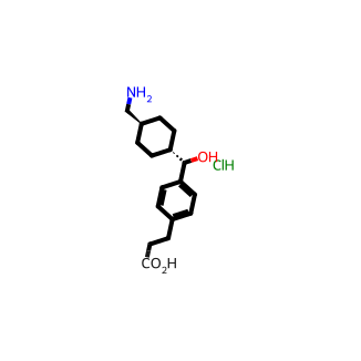 Cl.NC[C@H]1CC[C@H](C(O)c2ccc(CCC(=O)O)cc2)CC1